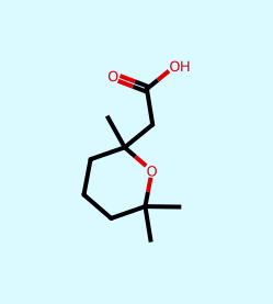 CC1(C)CCCC(C)(CC(=O)O)O1